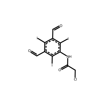 O=Cc1c(I)c(C=O)c(I)c(NC(=O)CCl)c1I